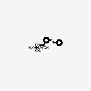 CC(C)(C)NCC(O)c1cccc(OCc2ccccc2)c1